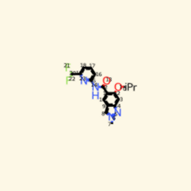 CC(C)Oc1cc2nn(C)cc2cc1C(=O)Nc1cccc(C(F)F)n1